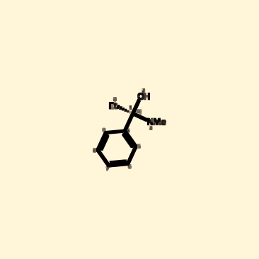 CC[C@](O)(NC)c1ccccc1